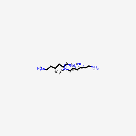 NC(=O)O.NCCCCCCN.NCCCCCCNC(=O)O